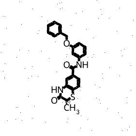 C[C@H]1Sc2ccc(C(=O)Nc3cccc(OCc4ccccc4)c3)cc2NC1=O